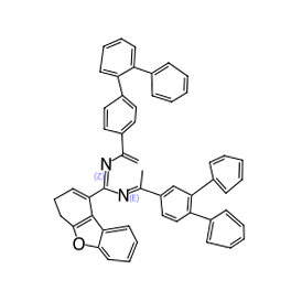 C=C(/N=C(\N=C(/C)c1ccc(-c2ccccc2)c(-c2ccccc2)c1)C1=CCCc2oc3ccccc3c21)c1ccc(-c2ccccc2-c2ccccc2)cc1